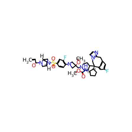 C=CC(=O)N1C[C@@H]2C[C@H]1CN2S(=O)(=O)c1ccc(N2CC(CN3CCC(C4([C@H]5CCC[C@@H]5NC(=O)OC)Cn5ccnc5Cc5cc(F)cc4c5)CC3)(OC)C2)c(F)c1